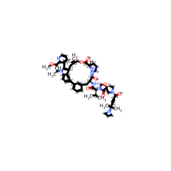 CCn1c(-c2cccnc2[C@H](C)OC)c2c3cc(ccc31)-c1cccc(c1)C[C@H](NC(=O)[C@H](C(C)C)N1CO[C@]3(CCN(C(=O)C#CC(C)(C)N4CCC4)C3)C1=O)C(=O)N1CCC[C@H](N1)C(=O)OCC(C)(C)C2